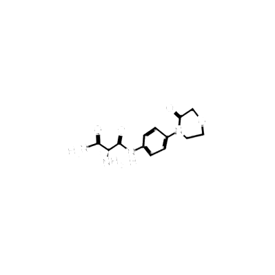 NC(=O)[C@H](N)C(=O)Nc1ccc(N2CCOCC2=O)cc1